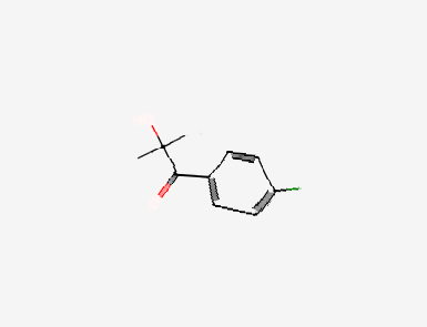 CCCCC(O)(CC)C(=O)c1ccc(Cl)cc1